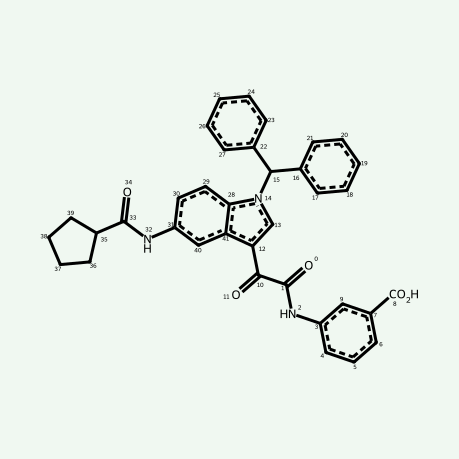 O=C(Nc1cccc(C(=O)O)c1)C(=O)c1cn(C(c2ccccc2)c2ccccc2)c2ccc(NC(=O)C3CCCC3)cc12